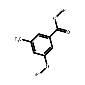 CC(C)OC(=O)c1cc(OC(C)C)cc(C(F)(F)F)c1